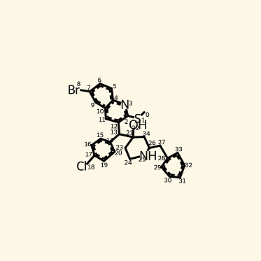 CSc1nc2ccc(Br)cc2cc1C(c1ccc(Cl)cc1)C1(O)CCNC(Cc2ccccc2)C1